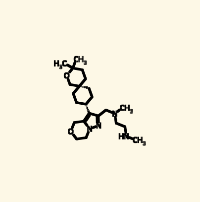 CNCCN(C)Cc1nn2c(c1[C@H]1CC[C@]3(CCC(C)(C)OC3)CC1)COCC2